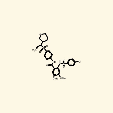 C=CC(C1CCCNC1)S(=O)(=O)c1ccc(NC(=O)c2cc(OC)c(OC)cc2NS(=O)(=O)c2ccc(Cl)cc2)cc1